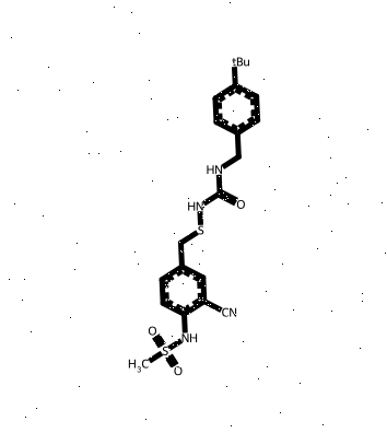 CC(C)(C)c1ccc(CNC(=O)NSCc2ccc(NS(C)(=O)=O)c(C#N)c2)cc1